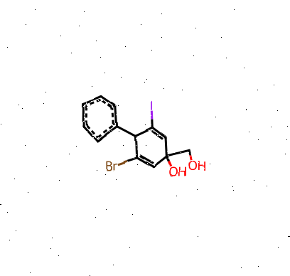 OCC1(O)C=C(Br)C(c2ccccc2)C(I)=C1